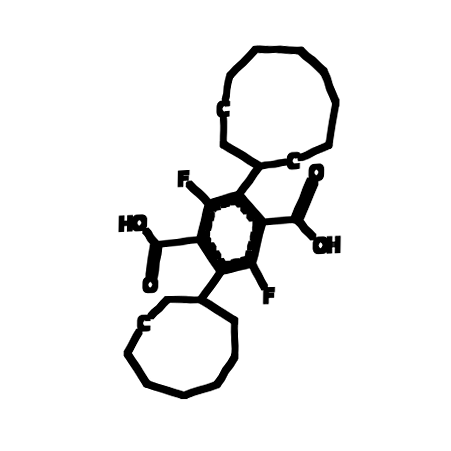 O=C(O)c1c(F)c(C2CCCCCCCC2)c(C(=O)O)c(F)c1C1CCCCCCCCC1